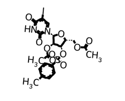 CC(=O)OC[C@H]1O[C@@H](n2cc(I)c(=O)[nH]c2=O)[C@H](OC(C)=O)[C@H]1OS(=O)(=O)c1ccc(C)cc1